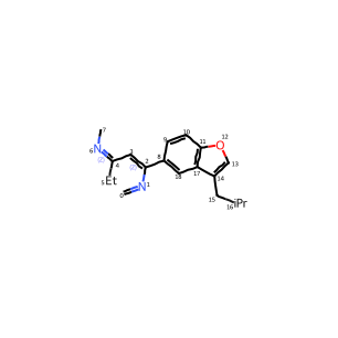 C=N/C(=C\C(CC)=N/C)c1ccc2occ(CC(C)C)c2c1